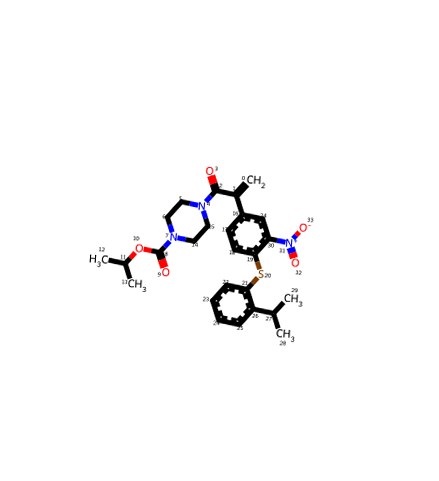 C=C(C(=O)N1CCN(C(=O)OC(C)C)CC1)c1ccc(Sc2ccccc2C(C)C)c([N+](=O)[O-])c1